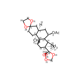 CC(=O)O[C@@H]1C[C@@H]2CC3(CC[C@]2(C)C2=CC[C@@]4(C)C(CC[C@@]45OCOC54COCO4)C21)OCCO3